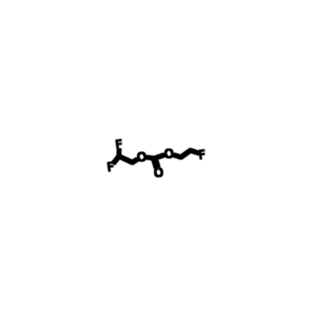 O=C(OCCF)OCC(F)F